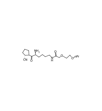 CCCOCCOCC(=O)NCCCC[C@H](N)C(=O)C1CCC[C@H]1C#N